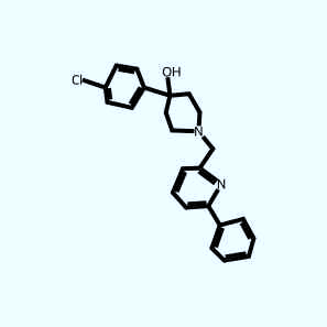 OC1(c2ccc(Cl)cc2)CCN(Cc2cccc(-c3ccccc3)n2)CC1